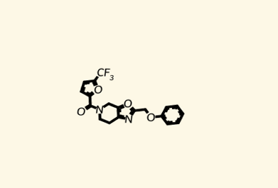 O=C(c1ccc(C(F)(F)F)o1)N1CCc2nc(COc3ccccc3)oc2C1